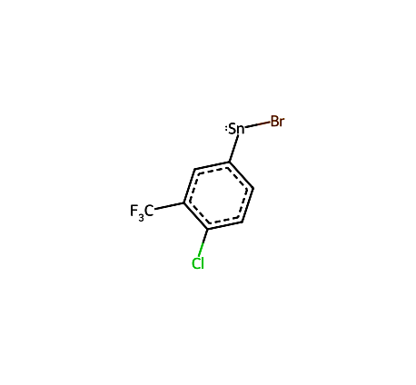 FC(F)(F)c1c[c]([Sn][Br])ccc1Cl